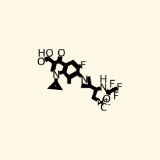 [C-]#[N+]CC(NC(=O)C(F)(F)F)C1CN(c2c(F)cc3c(=O)c(C(=O)O)cn(C4CC4)c3c2C)C1